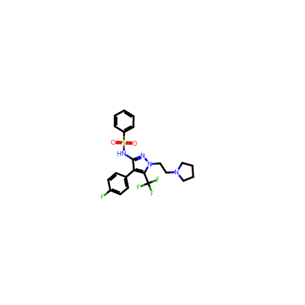 O=S(=O)(Nc1nn(CCN2CCCC2)c(C(F)(F)F)c1-c1ccc(F)cc1)c1ccccc1